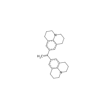 C=C(c1cc2c3c(c1)CCCN3CCC2)c1cc2c3c(c1)CCCN3CCC2